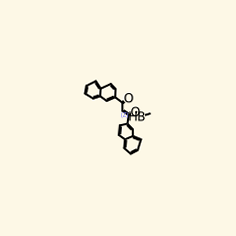 CBO/C(=C\C(=O)c1ccc2ccccc2c1)c1ccc2ccccc2c1